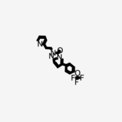 O=c1n(CCc2ccccn2)nc2ccc(-c3ccc(OC(F)(F)F)cc3)cn12